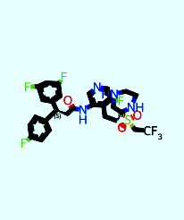 O=C(C[C@@H](c1ccc(F)cc1)c1cc(F)cc(F)c1)Nc1cncc(F)c1CC[C@]1(S(=O)(=O)CC(F)(F)F)CNCCN1